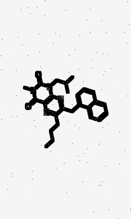 CCCCc1nc2c(=O)n(C)c(=O)n(CC(C)C)c2nc1Cc1cccc2ccccc12